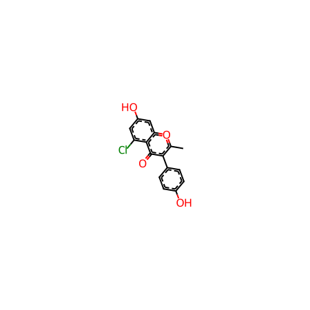 Cc1oc2cc(O)cc(Cl)c2c(=O)c1-c1ccc(O)cc1